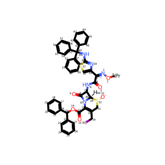 CC(C)O/N=C(\C(=O)NC1C(=O)N2C(C(=O)OC(c3ccccc3)c3ccccc3)=C(CI)C[S+]([O-])[C@H]12)c1csc(NC(c2ccccc2)(c2ccccc2)c2ccccc2)n1